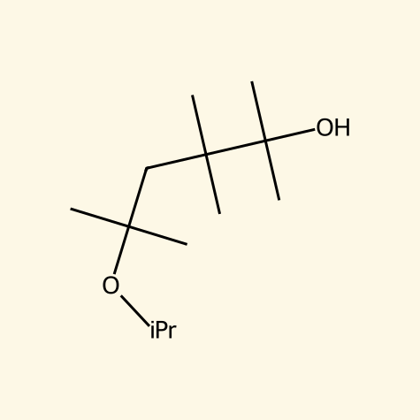 CC(C)OC(C)(C)CC(C)(C)C(C)(C)O